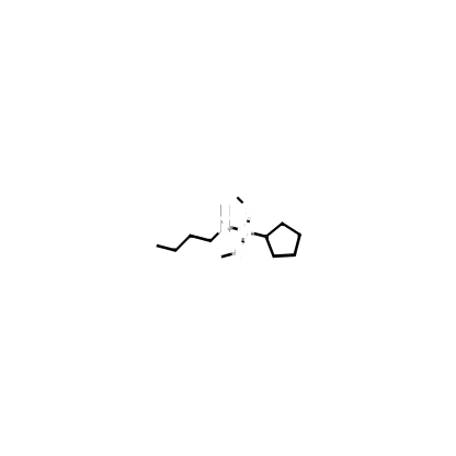 CCCCN[Si](OC)(OC)C1CCCC1